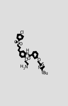 CC(C)(C)c1csc(COc2cccc(C(=O)Nc3cc(CCCS(=O)(=O)c4ccc(Cl)cc4)ccc3OCCN)c2)n1